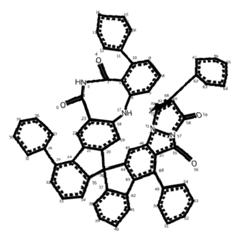 O=C1NC(=O)c2c(cccc2-c2ccccc2)Nc2cc3c(cc21)-c1c(-c2ccccc2)cccc1C31c2ccccc2-c2c1cc1c(c2-c2ccccc2)c(=O)n2c(=O)c3c(-c4ccccc4)cccc3n12